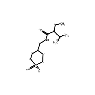 CCC(C(=O)NCC1CCS(=O)(=O)CC1)C(C)C